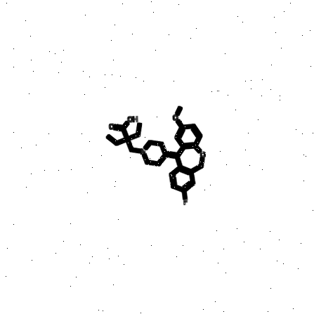 CCC(CC)(CN1CCC(=C2c3ccc(F)cc3COc3ccc(OC)cc32)CC1)C(=O)O